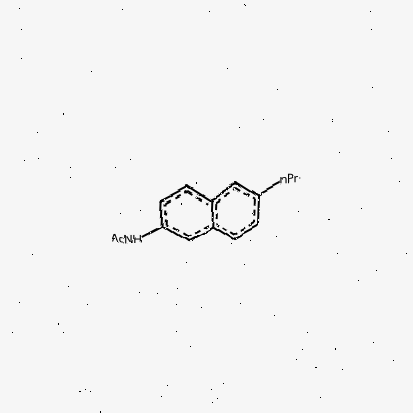 CC[CH]c1ccc2cc(NC(C)=O)ccc2c1